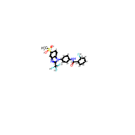 CS(=O)(=O)c1ccc2c(c1)nc(C(F)(F)F)n2-c1ccc(NC(=O)c2ccccc2F)cc1